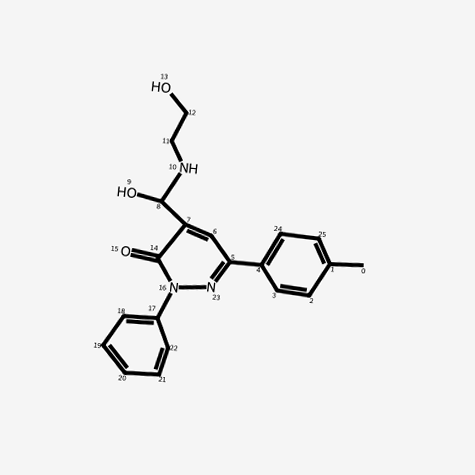 Cc1ccc(-c2cc(C(O)NCCO)c(=O)n(-c3ccccc3)n2)cc1